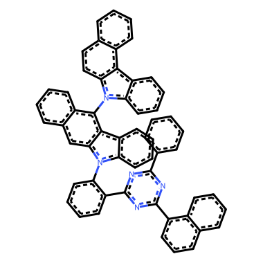 c1ccc(-c2nc(-c3ccccc3-n3c4ccccc4c4c(-n5c6ccccc6c6c7ccccc7ccc65)c5ccccc5cc43)nc(-c3cccc4ccccc34)n2)cc1